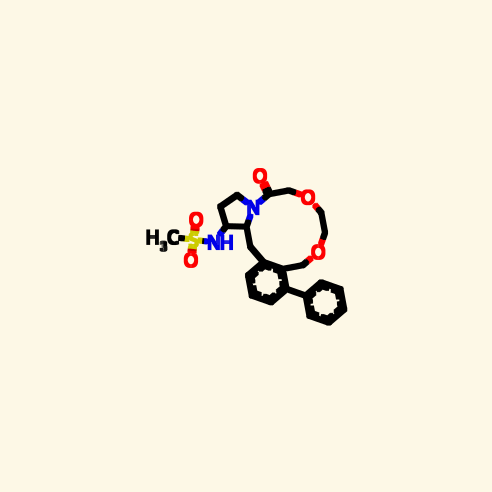 CS(=O)(=O)NC1CCN2C(=O)COCCOCc3c(cccc3-c3ccccc3)CC12